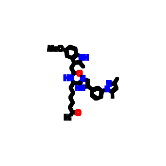 CCC(=O)CCCCCC(NC(=O)Cc1c(C)[nH]c2ccc(OC)cc12)c1ncc(-c2cccc(-n3nc(C)cc3C)c2)[nH]1